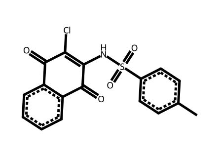 Cc1ccc(S(=O)(=O)NC2=C(Cl)C(=O)c3ccccc3C2=O)cc1